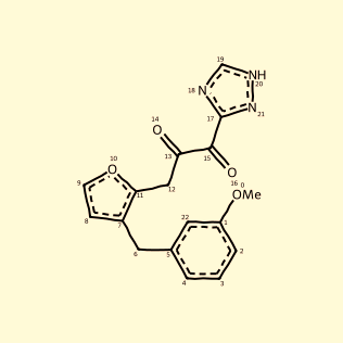 COc1cccc(Cc2ccoc2CC(=O)C(=O)c2nc[nH]n2)c1